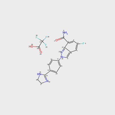 NC(=O)c1cc(F)cc2cn(-c3ccc(C4=NCCN4)cc3)nc12.O=C(O)C(F)(F)F